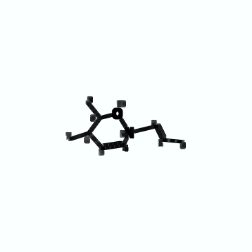 CC=CN1C=CC(C)C(C)O1